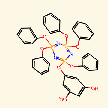 Oc1cc(O)cc(OP2(Oc3ccccc3)=NP(Oc3ccccc3)(Oc3ccccc3)=NP(Oc3ccccc3)(Oc3ccccc3)=N2)c1